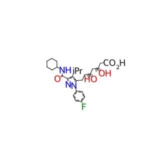 CC(C)c1c(C(=O)NC2CCCCC2)nn(-c2ccc(F)cc2)c1CC[C@@H](O)C[C@@H](O)CC(=O)O